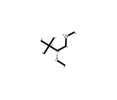 CC[C@@H](COC)C(C)(C)C